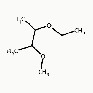 CCOC(C)C(C)OC